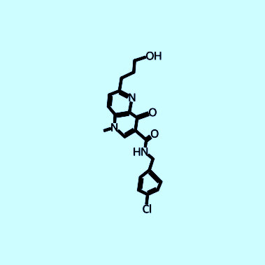 Cn1cc(C(=O)NCc2ccc(Cl)cc2)c(=O)c2nc(CCCO)ccc21